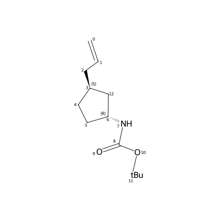 C=CC[C@@H]1CC[C@@H](NC(=O)OC(C)(C)C)C1